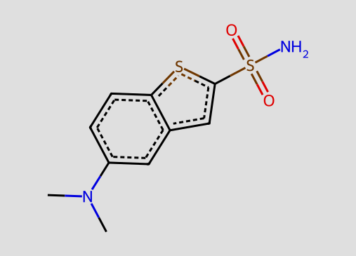 CN(C)c1ccc2sc(S(N)(=O)=O)cc2c1